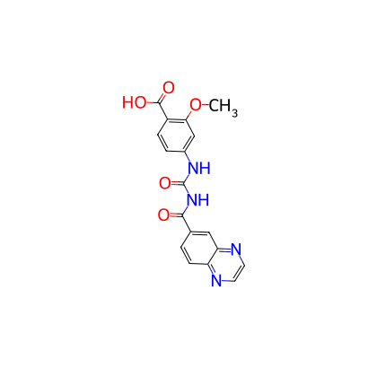 COc1cc(NC(=O)NC(=O)c2ccc3nccnc3c2)ccc1C(=O)O